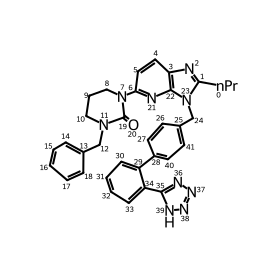 CCCc1nc2ccc(N3CCCN(Cc4ccccc4)C3=O)nc2n1Cc1ccc(-c2ccccc2-c2nnn[nH]2)cc1